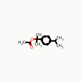 CC(=O)OC(C)(C)c1ccc(C(C)C)cc1